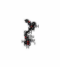 CC(C)(C)OC(=O)N(Cc1ccc(C(=O)NCCCNC(=O)c2cccc(C(O)(c3ccccc3)C(O)OCC3CCN(Cc4ccccc4)CC3)c2)cc1)C[C@H](O[Si](C)(C)C(C)(C)C)c1ccc(O)c2[nH]c(=O)ccc12